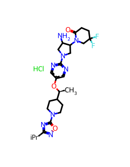 CC(C)c1noc(N2CCC([C@H](C)Oc3cnc(N4CC(N)C(N5CC(F)(F)CCC5=O)C4)nc3)CC2)n1.Cl